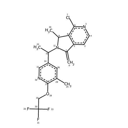 C=C1c2ccnc(Cl)c2C(C)N1C(C)c1cnc(OCC(F)(F)F)c(C)c1